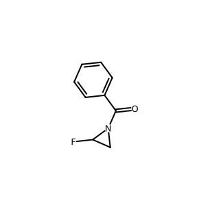 O=C(c1ccccc1)N1CC1F